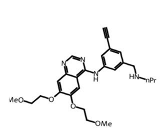 C#Cc1cc(CNCCC)cc(Nc2ncnc3cc(OCCOC)c(OCCOC)cc23)c1